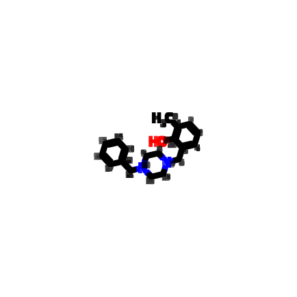 Cc1cccc(CN2CCN(Cc3ccccc3)CC2)c1O